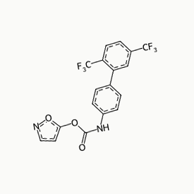 O=C(Nc1ccc(-c2cc(C(F)(F)F)ccc2C(F)(F)F)cc1)Oc1ccno1